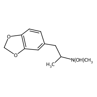 CC(Cc1ccc2c(c1)OCO2)N(C)O